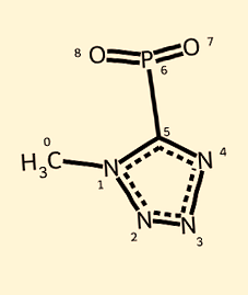 Cn1nnnc1P(=O)=O